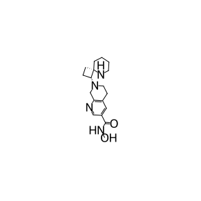 O=C(NO)c1cnc2c(c1)CCN([C@@H]1CC[C@@]13CCCCN3)C2